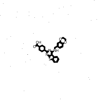 O=C(O)C1CCC(c2nc(NCc3ccc4c(c3)OCCO4)c3c(n2)sc2ccccc23)CC1